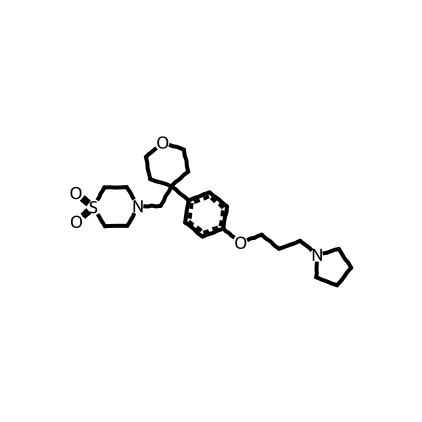 O=S1(=O)CCN(CC2(c3ccc(OCCCN4CCCC4)cc3)CCOCC2)CC1